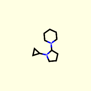 C1CCN(C2CCCN2C2CC2)CC1